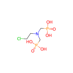 O=P(O)(O)CN(CCCl)CP(=O)(O)O